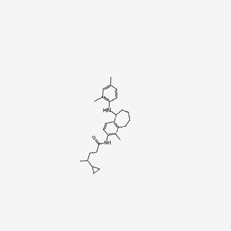 Cc1ccc(NC2CCCCc3c2ccc(NC(=O)CCC(C)C2CC2)c3C)c(C)c1